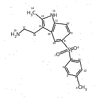 Cc1ccc(S(=O)(=O)c2ccc3[nH]c(C)c(CCN)c3c2)cc1